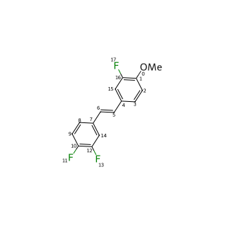 COc1ccc(/C=C/c2ccc(F)c(F)c2)cc1F